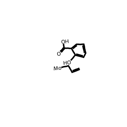 C=C[CH2][Mo].O=C(O)c1ccccc1O